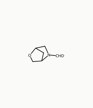 O=[C]N1CC2CC1CO2